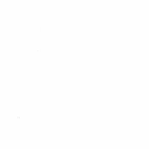 C=C(C)C(=O)OCCCc1cc(OCCO)ccc1C1CCC(CCC)CC1